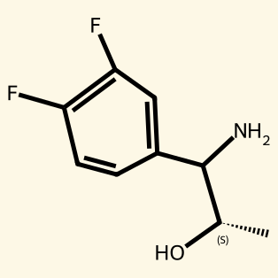 C[C@H](O)C(N)c1ccc(F)c(F)c1